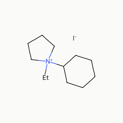 CC[N+]1(C2CCCCC2)CCCC1.[I-]